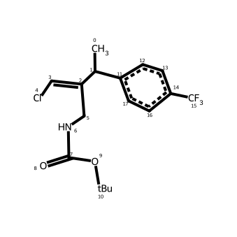 CC(C(=CCl)CNC(=O)OC(C)(C)C)c1ccc(C(F)(F)F)cc1